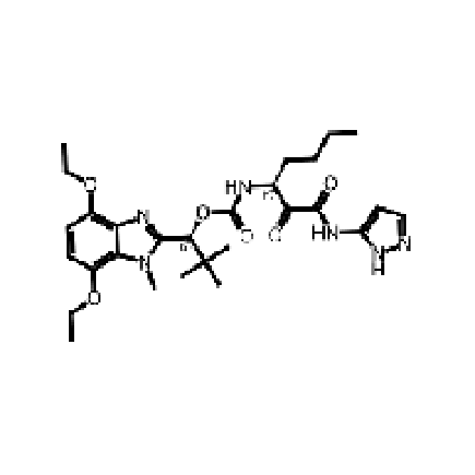 CCCC[C@H](NC(=O)O[C@H](c1nc2c(OCC)ccc(OCC)c2n1C)C(C)(C)C)C(=O)C(=O)Nc1ccn[nH]1